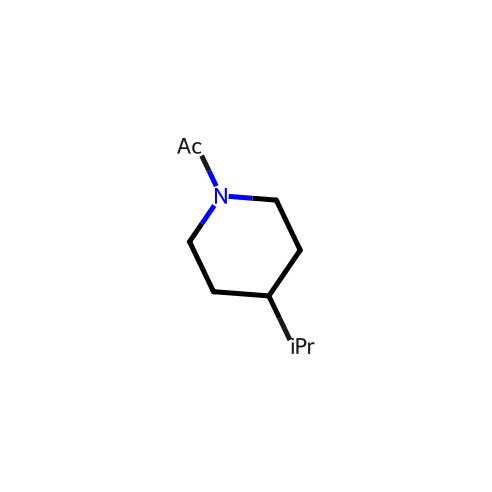 [CH2]C(=O)N1CCC(C(C)C)CC1